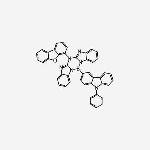 c1ccc(-n2c3ccccc3c3cc(B4n5c(nc6ccccc65)N(c5cccc6c5oc5ccccc56)c5nc6ccccc6n54)ccc32)cc1